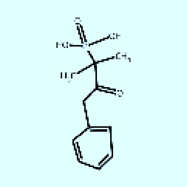 CC(C)(C(=O)Cc1ccccc1)P(=O)(O)O